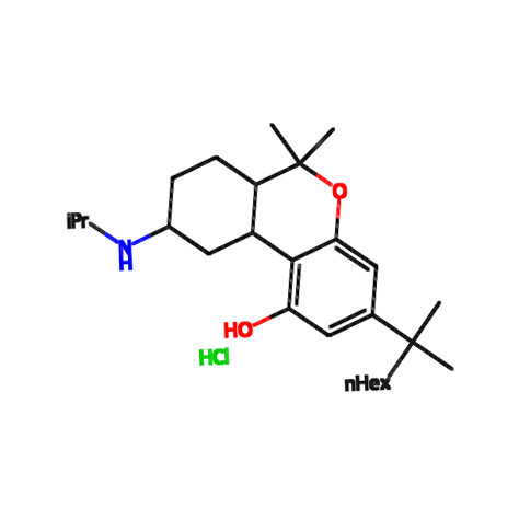 CCCCCCC(C)(C)c1cc(O)c2c(c1)OC(C)(C)C1CCC(NC(C)C)CC21.Cl